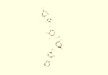 CC(C(=O)C(C)c1ccc(OCc2nc(Cc3ccc(I)cc3)no2)c(Cl)c1O)c1ccc(OCc2nc(Cc3ccc(I)cc3)no2)c(Cl)c1O